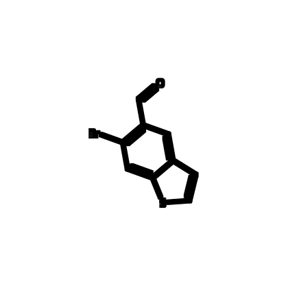 O=Cc1cc2ccsc2cc1Br